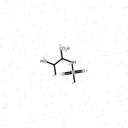 CC(O)C(NS(C)(=O)=O)C(=O)O